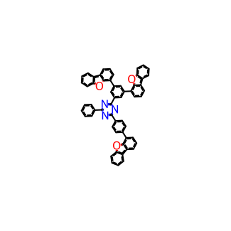 c1ccc(-c2nc(-c3ccc(-c4cccc5c4oc4ccccc45)cc3)nc(-c3cc(-c4cccc5c4oc4ccccc45)cc(-c4cccc5c4oc4ccccc45)c3)n2)cc1